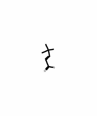 CC(C)(C)/C=C/C(=O)[S]